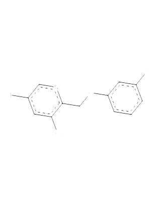 CCOC(=O)c1cc(Cl)cnc1COc1cccc(F)c1